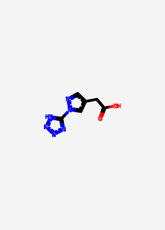 O=C(O)Cc1cnn(-c2nnn[nH]2)c1